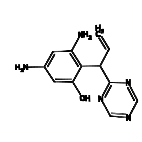 C=CC(c1ncncn1)c1c(N)cc(N)cc1O